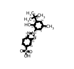 Cc1cc(-n2nc3ccc(S(=O)(=O)O)cc3n2)c(O)c(C(C)(C)C)c1